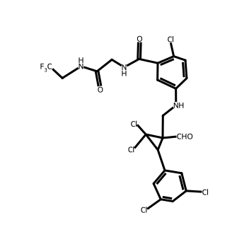 O=CC1(CNc2ccc(Cl)c(C(=O)NCC(=O)NCC(F)(F)F)c2)C(c2cc(Cl)cc(Cl)c2)C1(Cl)Cl